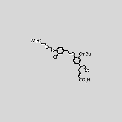 CCCCOc1cc(C(CC=CC(=O)O)OCC)ccc1OCCc1ccc(OCOCCOC)c(Cl)c1